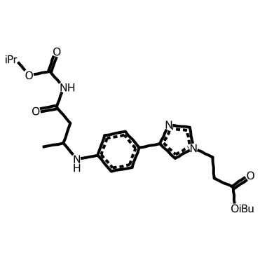 CC(C)COC(=O)CCn1cnc(-c2ccc(NC(C)CC(=O)NC(=O)OC(C)C)cc2)c1